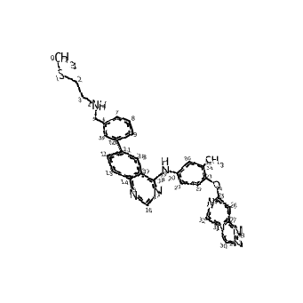 CSCCNCc1cccc(-c2ccc3ncnc(Nc4ccc(Oc5cc6nncn6cn5)c(C)c4)c3c2)c1